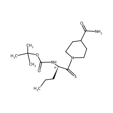 CCC[C@@H](NC(=O)OC(C)(C)C)C(=S)N1CCC(C(N)=O)CC1